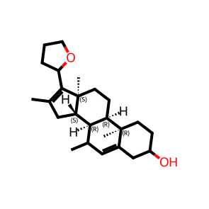 CC1=C(C2CCCO2)[C@@]2(C)CC[C@@H]3[C@@H](C(C)C=C4CC(O)CC[C@@]43C)[C@@H]2C1